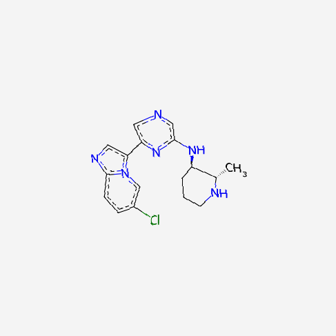 C[C@@H]1NCCC[C@H]1Nc1cncc(-c2cnc3ccc(Cl)cn23)n1